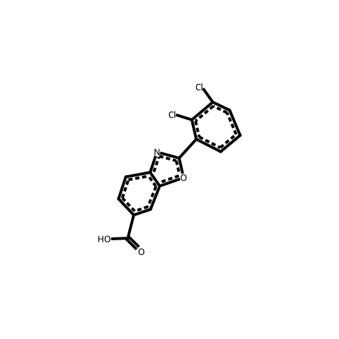 O=C(O)c1ccc2nc(-c3cccc(Cl)c3Cl)oc2c1